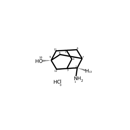 Cl.N[C@H]1C2CC3CC1C[C@](O)(C3)C2